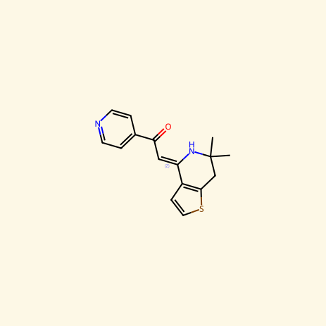 CC1(C)Cc2sccc2/C(=C/C(=O)c2ccncc2)N1